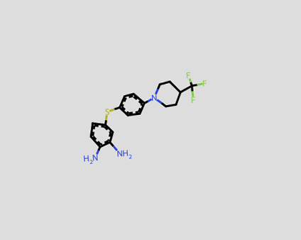 Nc1ccc(Sc2ccc(N3CCC(C(F)(F)F)CC3)cc2)cc1N